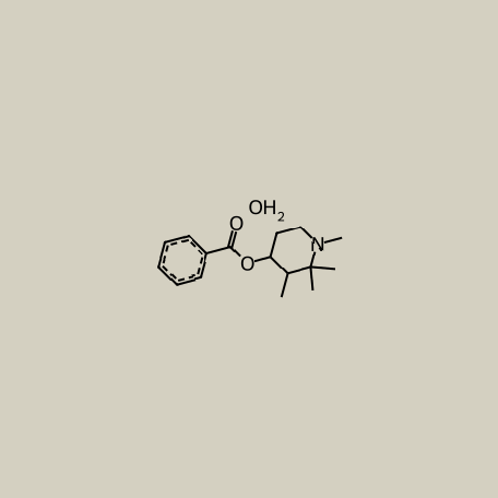 CC1C(OC(=O)c2ccccc2)CCN(C)C1(C)C.O